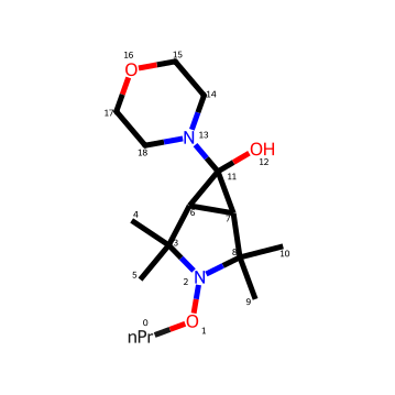 CCCON1C(C)(C)C2C(C1(C)C)C2(O)N1CCOCC1